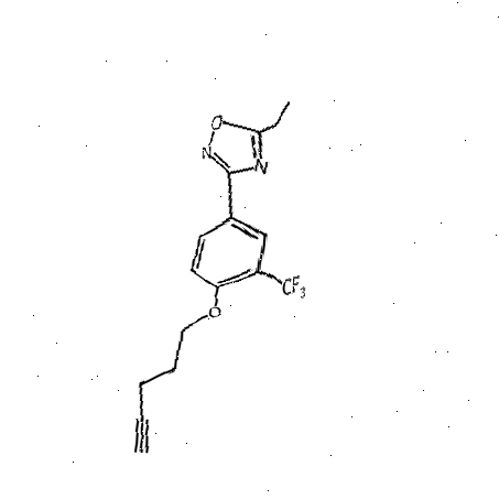 C#CCCCOc1ccc(-c2noc(C)n2)cc1C(F)(F)F